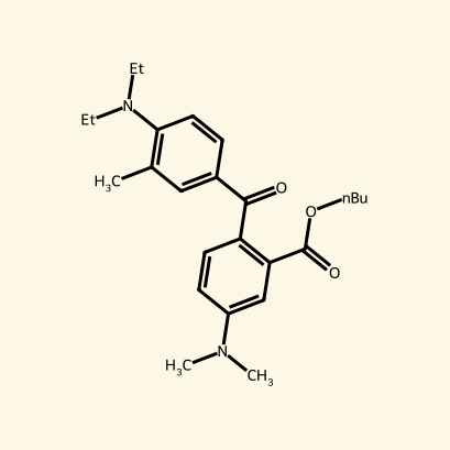 CCCCOC(=O)c1cc(N(C)C)ccc1C(=O)c1ccc(N(CC)CC)c(C)c1